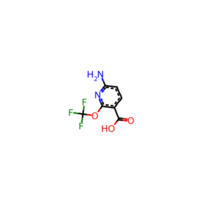 Nc1ccc(C(=O)O)c(OC(F)(F)F)n1